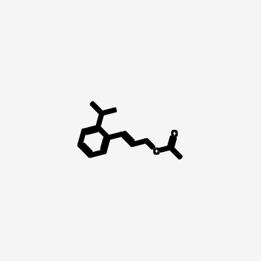 CC(=O)OCC=Cc1ccccc1C(C)C